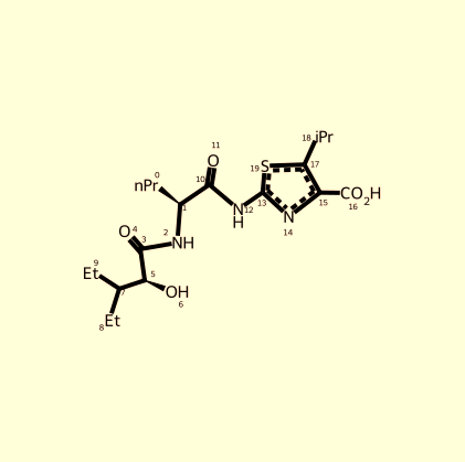 CCC[C@H](NC(=O)[C@@H](O)C(CC)CC)C(=O)Nc1nc(C(=O)O)c(C(C)C)s1